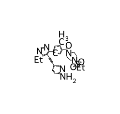 CCc1ncnc(-c2ccc(C(=O)N3CCN(S(=O)(=O)CC)CC3)c(C)c2)c1C#Cc1ccc(N)nc1